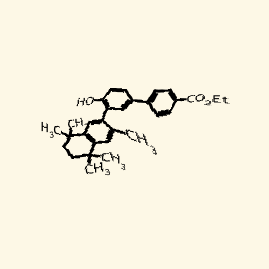 CCOC(=O)c1ccc(-c2ccc(O)c(-c3cc4c(cc3C)C(C)(C)CCC4(C)C)c2)cc1